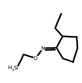 CCC1CCCCC1=NOC[SiH3]